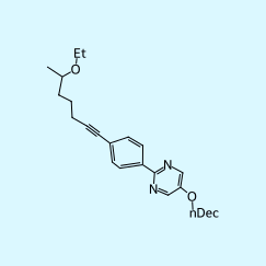 CCCCCCCCCCOc1cnc(-c2ccc(C#CCCCC(C)OCC)cc2)nc1